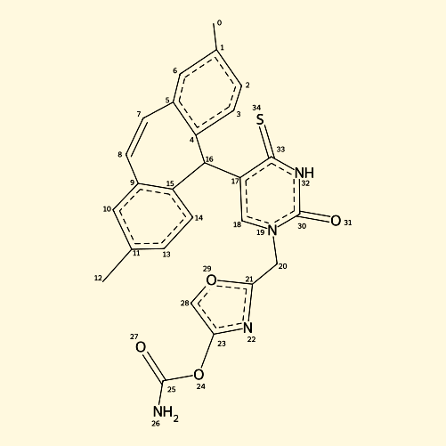 Cc1ccc2c(c1)C=Cc1cc(C)ccc1C2c1cn(Cc2nc(OC(N)=O)co2)c(=O)[nH]c1=S